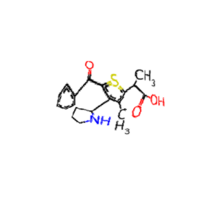 Cc1c(C(C)C(=O)O)sc(C(=O)c2ccccc2)c1C1CCCN1